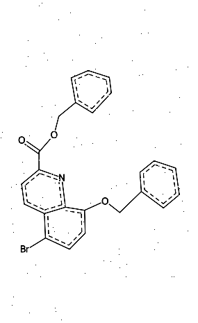 O=C(OCc1ccccc1)c1ccc2c(Br)ccc(OCc3ccccc3)c2n1